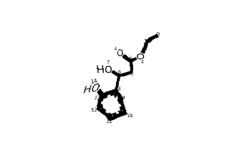 CCOC(=O)CC(O)c1ccccc1O